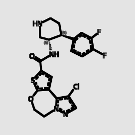 O=C(N[C@@H]1CNCC[C@H]1c1ccc(F)c(F)c1)c1cc2c(s1)OCCn1ncc(Cl)c1-2